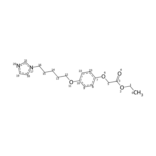 CCOC(=O)COc1ccc(OCCCCCn2ccnc2)cc1